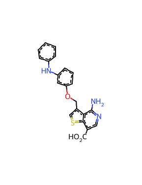 Nc1ncc(C(=O)O)c2scc(COc3cccc(Nc4ccccc4)c3)c12